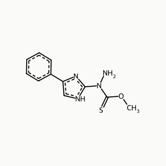 COC(=S)N(N)c1nc(-c2ccccc2)c[nH]1